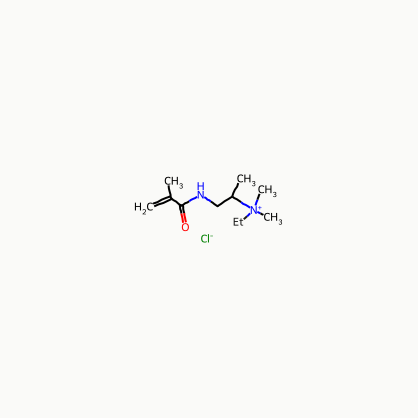 C=C(C)C(=O)NCC(C)[N+](C)(C)CC.[Cl-]